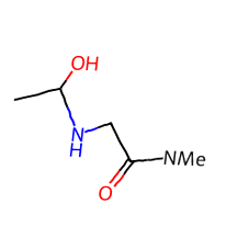 CNC(=O)CNC(C)O